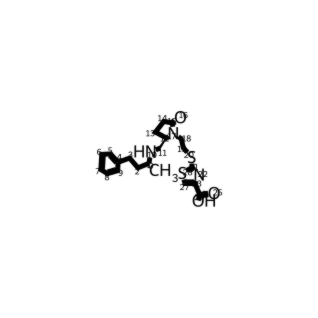 CC(CCc1ccccc1)NC[C@H]1CCC(=O)N1CCSc1nc(C(=O)O)cs1